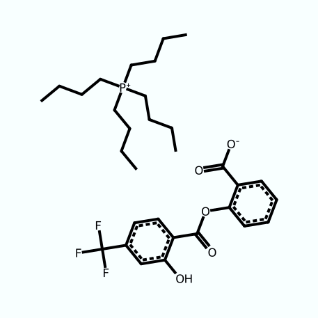 CCCC[P+](CCCC)(CCCC)CCCC.O=C(Oc1ccccc1C(=O)[O-])c1ccc(C(F)(F)F)cc1O